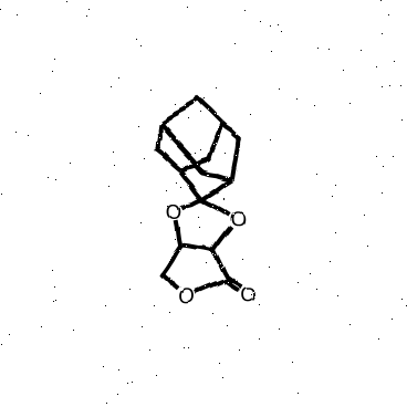 O=C1OCC2OC3(OC12)C1CC2CC(C1)CC3C2